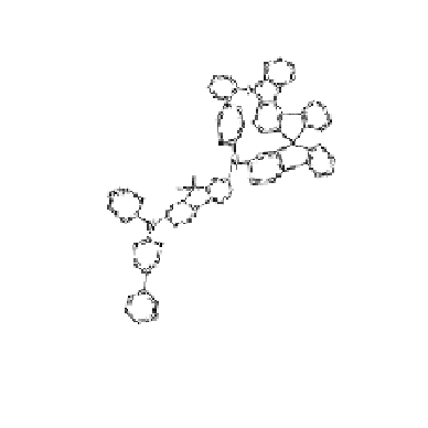 CC1(C)c2cc(N(c3ccccc3)c3ccc(-c4ccccc4)cc3)ccc2-c2ccc(N(c3ccccc3)c3ccc4c(c3)C3(c5ccccc5-4)c4ccccc4-c4c3ccc3c4c4ccccc4n3-c3ccccc3)cc21